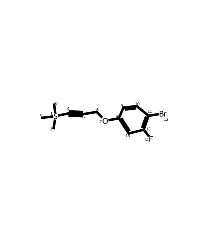 CS(C)(C)C#CCOc1ccc(Br)c(F)c1